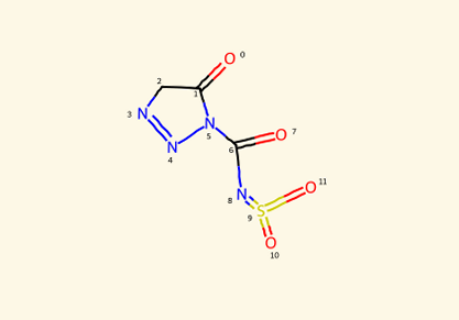 O=C1CN=NN1C(=O)N=S(=O)=O